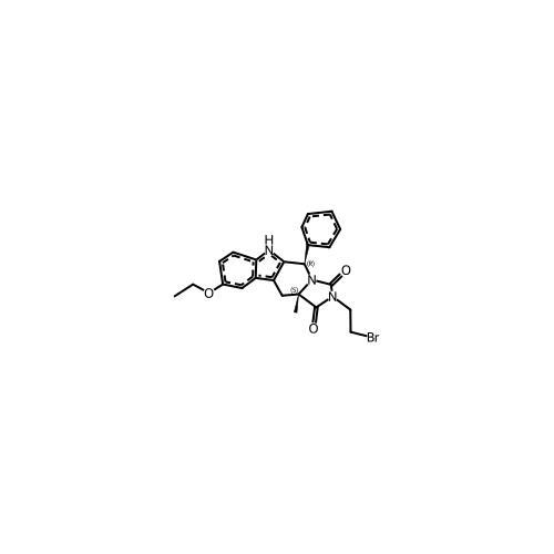 CCOc1ccc2[nH]c3c(c2c1)C[C@@]1(C)C(=O)N(CCBr)C(=O)N1[C@@H]3c1ccccc1